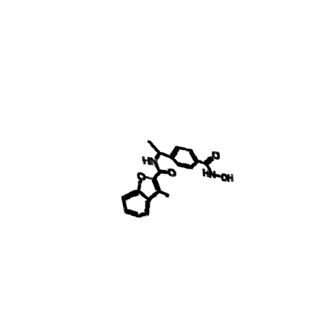 Cc1c(C(=O)NC(C)c2ccc(C(=O)NO)cc2)oc2ccccc12